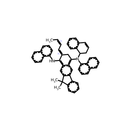 C/C=C\C=C1/CC(N(c2cccc3ccccc23)C2CC=Cc3ccccc32)=c2cc3c(cc2=C1Nc1cccc2ccccc12)C(C)(C)c1ccccc1-3